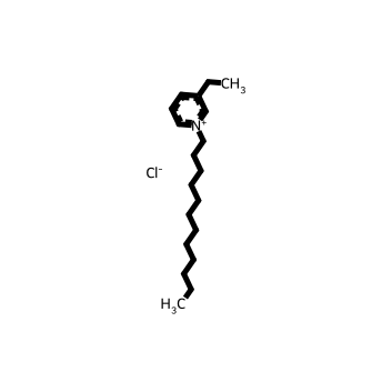 CCCCCCCCCCCC[n+]1cccc(CC)c1.[Cl-]